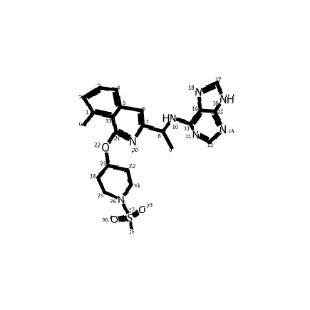 Cc1cccc2cc(C(C)Nc3ncnc4[nH]cnc34)nc(OC3CCN(S(C)(=O)=O)CC3)c12